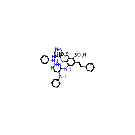 O=S(=O)(O)c1c(C=Cc2ccccc2)cc(Nc2nnncc2Nc2ccccc2)c(Nc2nnncc2Nc2ccccc2)c1S(=O)(=O)O